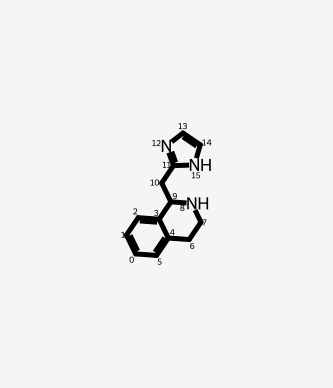 c1ccc2c(c1)CCNC2Cc1ncc[nH]1